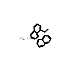 CCc1cccc2ccccc12.[LiH].[LiH].c1ccc2ccccc2c1